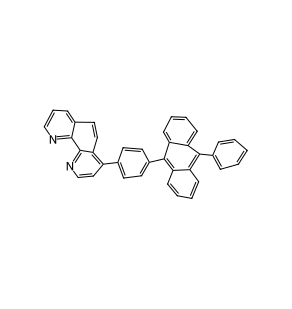 c1ccc(-c2c3ccccc3c(-c3ccc(-c4ccnc5c4ccc4cccnc45)cc3)c3ccccc23)cc1